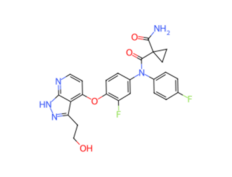 NC(=O)C1(C(=O)N(c2ccc(F)cc2)c2ccc(Oc3ccnc4[nH]nc(CCO)c34)c(F)c2)CC1